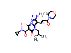 CC(C)Cn1c(=O)c(C(=O)NC2CC2)c(O)n2nc(N)c(/C=C/C(=O)N3CCOC[C@@H]3C)c12